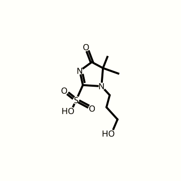 CC1(C)C(=O)N=C(S(=O)(=O)O)N1CCCO